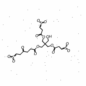 O=C(CC=S(=O)=O)CCC(=O)OCC(CO)(COC(=O)CC=S(=O)=O)COC(=O)CC=S(=O)=O